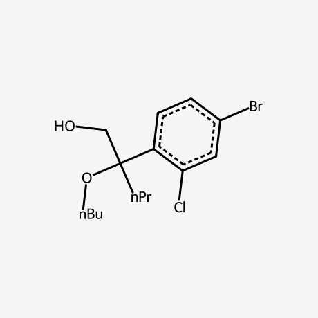 CCCCOC(CO)(CCC)c1ccc(Br)cc1Cl